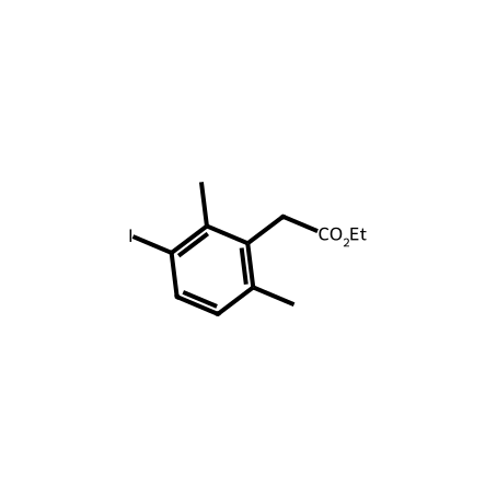 CCOC(=O)Cc1c(C)ccc(I)c1C